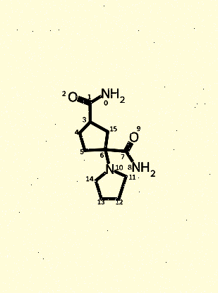 NC(=O)C1CCC(C(N)=O)(N2CCCC2)C1